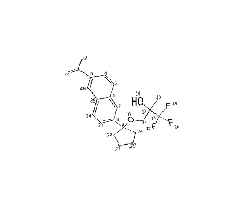 C=C(C)c1ccc2cc(C3(OCC(C)(O)C(F)(F)F)CCCC3)ccc2c1